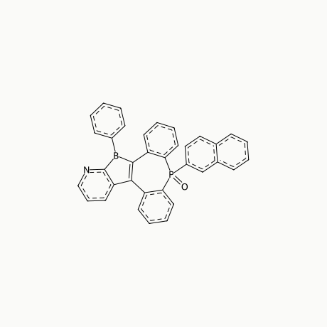 O=P1(c2ccc3ccccc3c2)c2ccccc2C2=C(c3ccccc31)c1cccnc1B2c1ccccc1